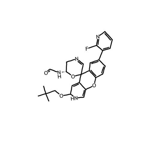 CC(C)(C)COC1C=C2C(=CN1)Oc1ccc(-c3cccnc3F)cc1C21C=NC[C@@H](NC=O)O1